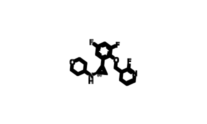 FC1=NC=CCC1COc1c(F)cc(F)cc1C1C[C@H]1NC1CCOCC1